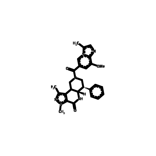 COc1cc(C(=O)N2CC3c4c(C(F)(F)F)nn(C)c4C(=O)N[C@H]3[C@@H](c3ccccc3)C2)cn2c(C)cnc12